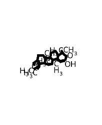 CC1(C)CCC23CC[C@@]4(C)C(CCC5[C@@]6(C)C=C(O)C(=O)C(C)(C)C6CC[C@]54C)C2C1OC3